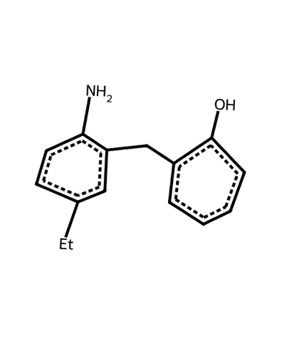 CCc1ccc(N)c(Cc2ccccc2O)c1